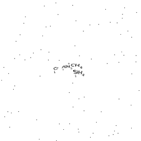 C.[AlH3].[Cr].[SiH4]